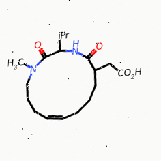 CC(C)C1NC(=O)C(CC(=O)O)CCCC=CCCCN(C)C1=O